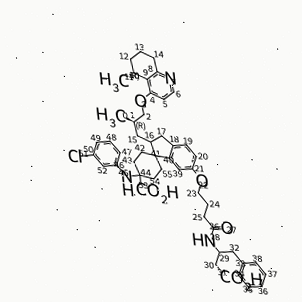 C[C@@H](COc1ccnc2c1[C@H](C)CCC2)CC1Cc2ccc(OCCCC(=O)NC(CC(=O)O)Cc3ccccc3)cc2C12CCC(Nc1cccc(Cl)c1)(C(=O)O)CC2